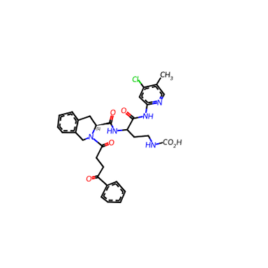 Cc1cnc(NC(=O)C(CCNC(=O)O)NC(=O)[C@@H]2Cc3ccccc3CN2C(=O)CCC(=O)c2ccccc2)cc1Cl